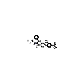 CO[N+](=O)c1ccc(N2CCN(C(=O)/C(=C(\C)ON)C(I)c3ccccc3)CC2)c(Cl)c1